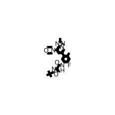 Cc1nc2c(N3CCOCC3)cc(-c3cc(NC(=O)c4coc(C(C)(C)C)n4)c(F)cc3C)cn2n1